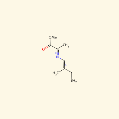 BC/C(C)=C/N=C(\C)C(=O)OC